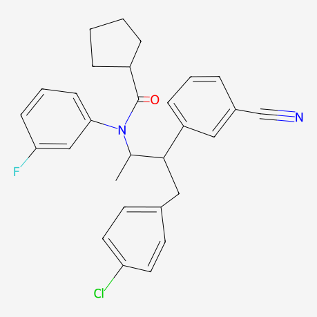 CC(C(Cc1ccc(Cl)cc1)c1cccc(C#N)c1)N(C(=O)C1CCCC1)c1cccc(F)c1